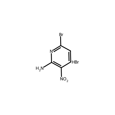 Br.Nc1nc(Br)ccc1[N+](=O)[O-]